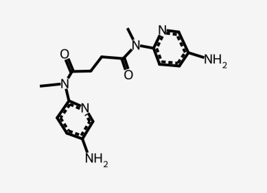 CN(C(=O)CCC(=O)N(C)c1ccc(N)cn1)c1ccc(N)cn1